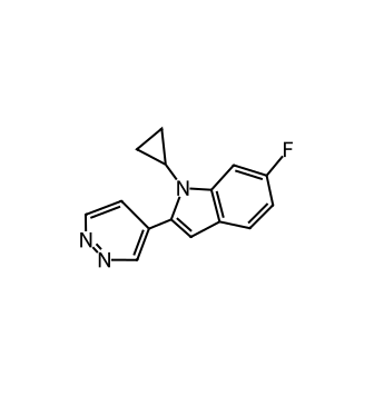 Fc1ccc2cc(-c3ccnnc3)n(C3CC3)c2c1